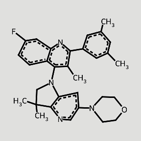 Cc1cc(C)cc(-c2nc3cc(F)ccc3c(N3CC(C)(C)c4ncc(N5CCOCC5)cc43)c2C)c1